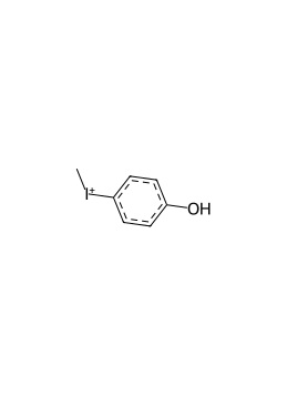 C[I+]c1ccc(O)cc1